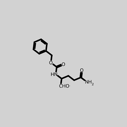 NC(=O)CCC([C]=O)NC(=O)OCc1ccccc1